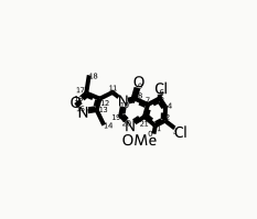 COc1c(Cl)cc(Cl)c2c(=O)n(Cc3c(C)noc3C)cnc12